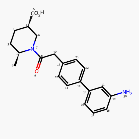 C[C@H]1CC[C@@H](C(=O)O)CN1C(=O)Cc1ccc(-c2cccc(N)c2)cc1